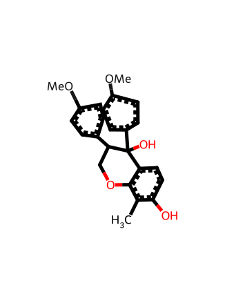 COc1ccc(C2COc3c(ccc(O)c3C)C2(O)c2ccc(OC)cc2)cc1